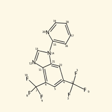 FC(F)(F)c1cc(C(F)(F)F)c2ncn(-c3ccccn3)c2c1